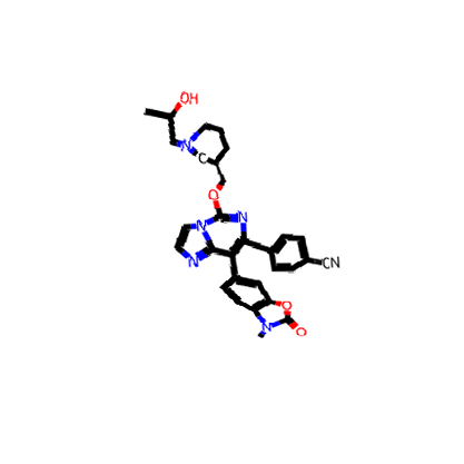 CC(O)CN1CCC[C@@H](COc2nc(-c3ccc(C#N)cc3)c(-c3ccc4c(c3)oc(=O)n4C)c3nccn23)C1